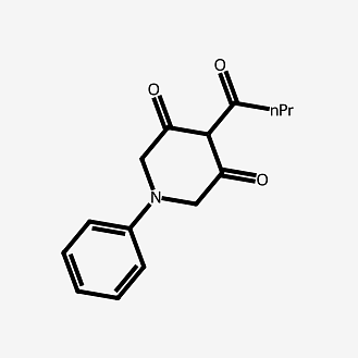 CCCC(=O)C1C(=O)CN(c2ccccc2)CC1=O